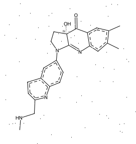 CNCc1ccc2cc(N3CC[C@@]4(O)C(=O)c5cc(C)c(C)cc5N=C34)ccc2n1